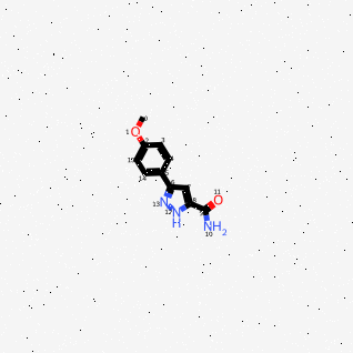 COc1ccc(-c2cc(C(N)=O)[nH]n2)cc1